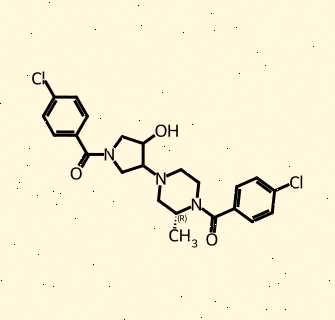 C[C@@H]1CN(C2CN(C(=O)c3ccc(Cl)cc3)CC2O)CCN1C(=O)c1ccc(Cl)cc1